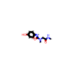 CNC(=O)CN(C)c1nc2ccc(O)cc2o1